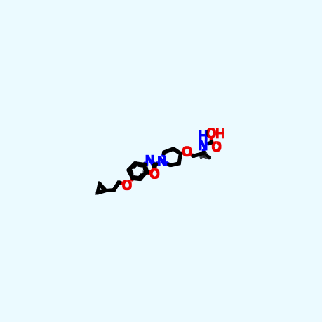 C[C@@H](COC1CCN(c2nc3ccc(OCCC4CC4)cc3o2)CC1)NC(=O)O